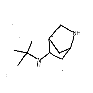 CC(C)(C)NC1CC2CC1CN2